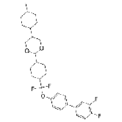 CC1CCC(C2COC(C3CCC(C(F)(F)Oc4ccc(-c5ccc(F)c(F)c5)cc4)CC3)OC2)CC1